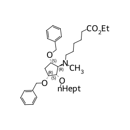 CCCCCCCO[C@H]1[C@H](N(C)CCCCCC(=O)OCC)[C@@H](OCc2ccccc2)C[C@H]1OCc1ccccc1